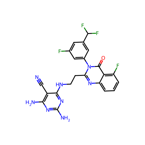 N#Cc1c(N)nc(N)nc1NCCc1nc2cccc(F)c2c(=O)n1-c1cc(F)cc(C(F)F)c1